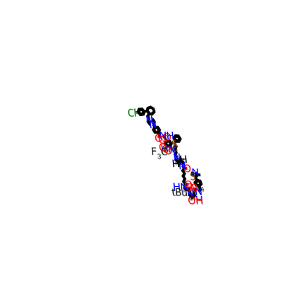 Cc1ncsc1-c1ccc([C@H](C)NC(=O)[C@@H]2C[C@@H](O)CN2C(=O)[C@@H](NC(=O)CCCCCC(=O)N2C[C@H]3CN(CC[C@H](CSc4ccccc4)Nc4ccc(S(=O)(=O)NC(=O)c5ccc(N6CCN(CC7=C(c8ccc(Cl)cc8)CCCCC7)CC6)cc5)cc4S(=O)(=O)C(F)(F)F)C[C@H]3C2)C(C)(C)C)cc1